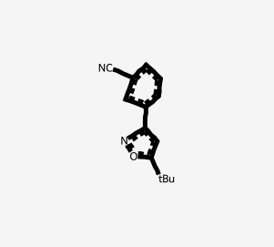 CC(C)(C)c1cc(-c2cccc(C#N)c2)no1